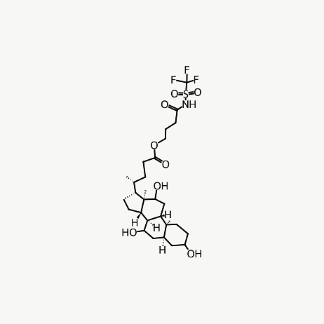 C[C@H](CCC(=O)OCCCC(=O)NS(=O)(=O)C(F)(F)F)[C@H]1CC[C@H]2[C@@H]3C(O)C[C@@H]4CC(O)CC[C@]4(C)[C@H]3CC(O)[C@]12C